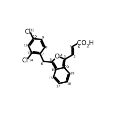 O=C(O)/C=C/c1oc(Cc2ccc(Cl)cc2Cl)c2ccccc12